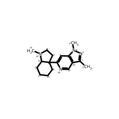 Cc1nn(C)c2cc(C34CCCCC3N(C)CC4)ncc12